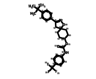 CC(C)(C)c1ccc(C2=NOC3(CCN(OC(=O)Nc4ccc(C(F)(F)F)cc4)CC3)C2)cc1